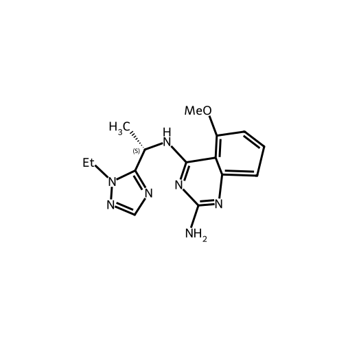 CCn1ncnc1[C@H](C)Nc1nc(N)nc2cccc(OC)c12